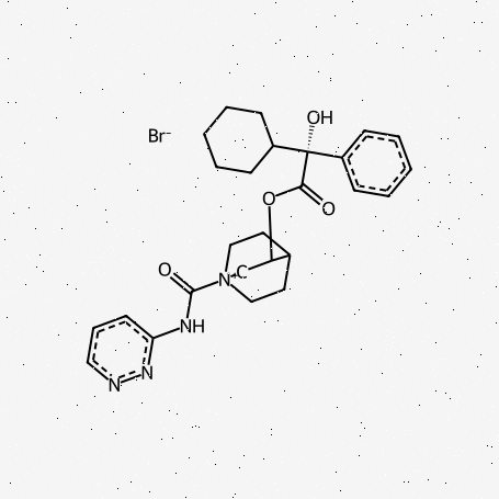 O=C(OC1C[N+]2(C(=O)Nc3cccnn3)CCC1CC2)[C@](O)(c1ccccc1)C1CCCCC1.[Br-]